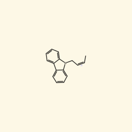 C/C=C\Cn1c2ccccc2c2ccccc21